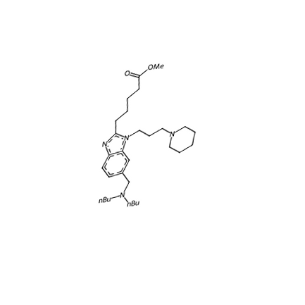 CCCCN(CCCC)Cc1ccc2nc(CCCCC(=O)OC)n(CCCN3CCCCC3)c2c1